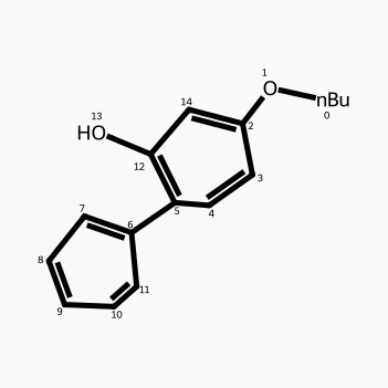 CCCCOc1ccc(-c2ccccc2)c(O)c1